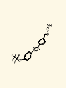 N=[N+]=NCc1ccc(-c2ncn(-c3ccc(OC(F)(F)C(F)(F)F)cc3)n2)cc1